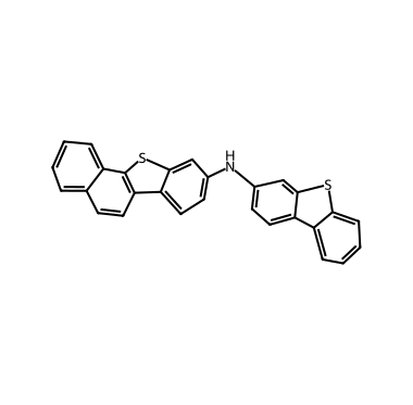 c1ccc2c(c1)ccc1c3ccc(Nc4ccc5c(c4)sc4ccccc45)cc3sc21